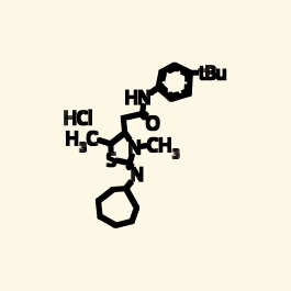 CC1S/C(=N\C2CCCCCC2)N(C)C1CC(=O)Nc1ccc(C(C)(C)C)cc1.Cl